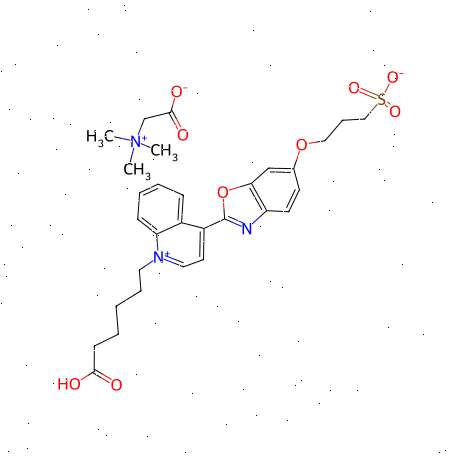 C[N+](C)(C)CC(=O)[O-].O=C(O)CCCCC[n+]1ccc(-c2nc3ccc(OCCCS(=O)(=O)[O-])cc3o2)c2ccccc21